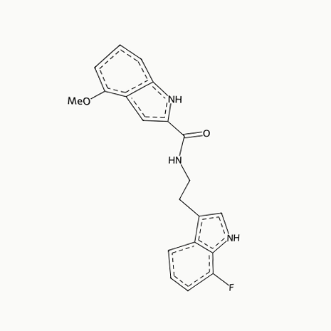 COc1cccc2[nH]c(C(=O)NCCc3c[nH]c4c(F)cccc34)cc12